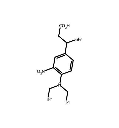 CCCC(CC(=O)O)c1ccc(N(CC(C)C)CC(C)C)c([N+](=O)[O-])c1